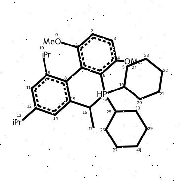 COc1ccc(OC)c2c1-c1c(C(C)C)cc(C(C)C)cc1C(C)[PH]2(C1CCCCC1)C1CCCCC1